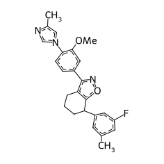 COc1cc(-c2noc3c2CCCC3c2cc(C)cc(F)c2)ccc1-n1cnc(C)c1